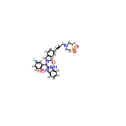 O=C1c2cc(C#CCN3CCS(=O)(=O)CC3)ccc2CN1C(c1nc2ccccc2[nH]1)c1cc(F)ccc1O